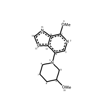 COc1ncc(N2CCCC(OC)C2)c2scnc12